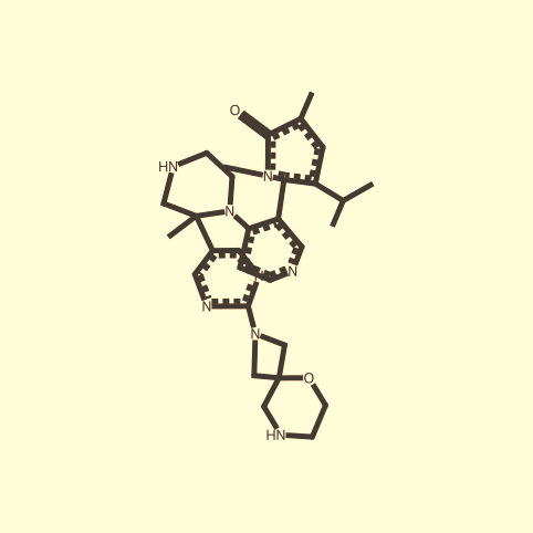 Cc1cc(C(C)C)c(-c2cnccc2N2CCNCC2(C)c2cnc(N3CC4(CNCCO4)C3)nc2)n(C)c1=O